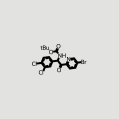 CC(C)(C)OC(=O)NC(C(=O)c1ccc(Br)cn1)c1ccc(Cl)c(Cl)c1